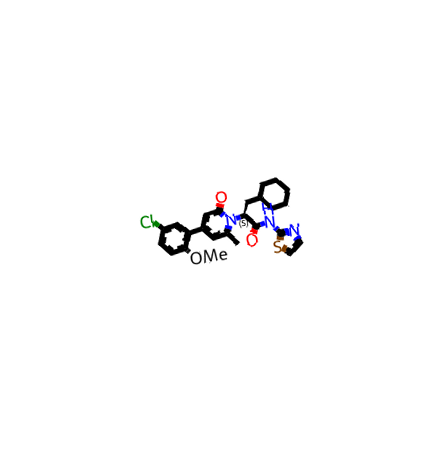 COc1ccc(Cl)cc1-c1cc(C)n([C@@H](CC2CCCCC2)C(=O)Nc2nccs2)c(=O)c1